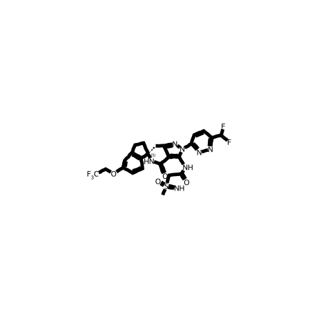 CS(=N)(=O)CC(=O)Nc1c2c(nn1-c1ccc(C(F)F)nn1)C[C@]1(CCc3cc(OCC(F)(F)F)ccc31)NC2=O